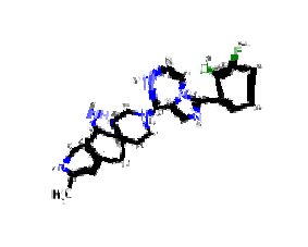 Cc1cc2c(cn1)C(N)C1(CCN(c3nccn4c(-c5cccc(F)c5Cl)ncc34)CC1)C2